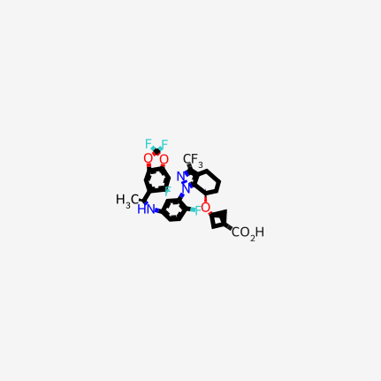 C[C@H](Nc1ccc(F)c(-n2nc(C(F)(F)F)c3c2[C@H](OC24CC(C(=O)O)(C2)C4)CCC3)c1)c1cc2c(cc1F)OC(F)(F)O2